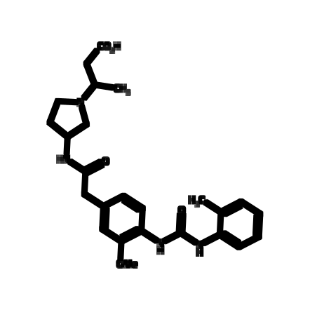 COc1cc(CC(=O)NC2CCN(C(C)CC(=O)O)C2)ccc1NC(=O)Nc1ccccc1C